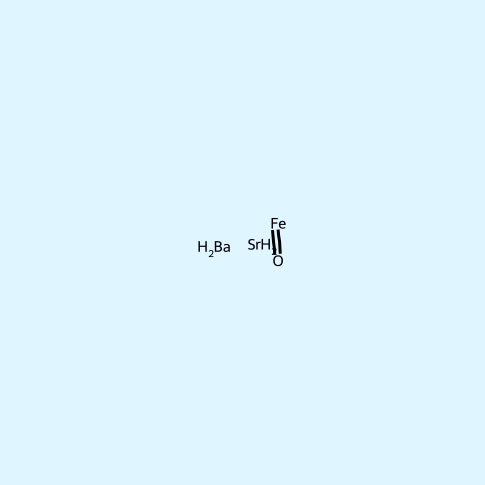 [BaH2].[O]=[Fe].[SrH2]